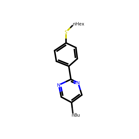 CCCCCCSc1ccc(-c2ncc(CCCC)cn2)cc1